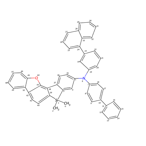 C[Si]1(C)c2cc(N(c3ccc(-c4ccccc4)cc3)c3cccc(-c4cccc5ccccc45)c3)ccc2-c2c1ccc1c2oc2ccccc21